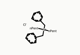 CCCCC[N+](CCCCC)(Cc1ccccc1)Cc1ccccc1.[Cl-]